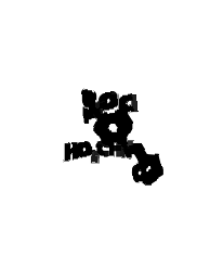 O=C(O)c1cc(S(=O)(=O)I)c(Cl)cc1NCc1ccco1